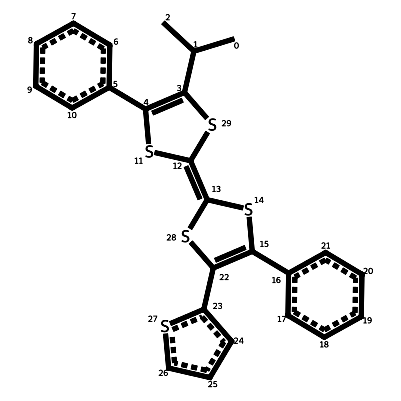 CC(C)C1=C(c2ccccc2)S/C(=C2/SC(c3ccccc3)=C(c3cccs3)S2)S1